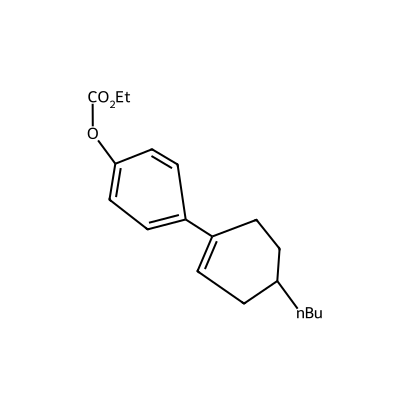 CCCCC1CC=C(c2ccc(OC(=O)OCC)cc2)CC1